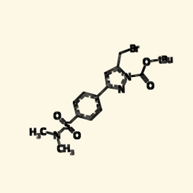 CN(C)S(=O)(=O)c1ccc(-c2cc(CBr)n(C(=O)OC(C)(C)C)n2)cc1